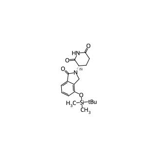 CC(C)(C)[Si](C)(C)Oc1cccc2c1CN([C@H]1CCC(=O)NC1=O)C2=O